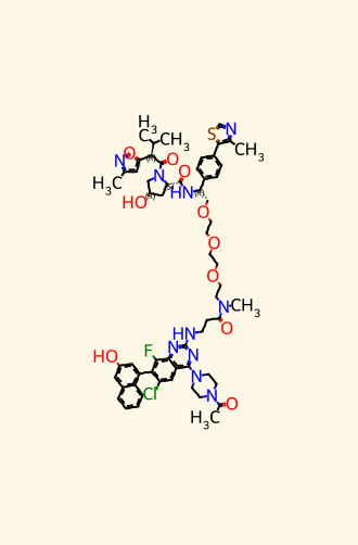 CC(=O)N1CCN(c2nc(NCCC(=O)N(C)CCOCCOCCOC[C@H](NC(=O)[C@@H]3C[C@@H](O)CN3C(=O)[C@@H](c3cc(C)no3)C(C)C)c3ccc(-c4scnc4C)cc3)nc3c(F)c(-c4cc(O)cc5ccccc45)c(Cl)cc23)CC1